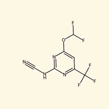 N#CNc1nc(OC(F)F)cc(C(F)(F)F)n1